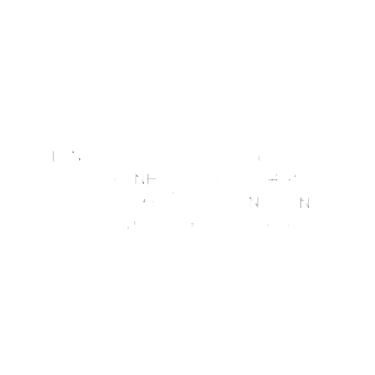 NCCNC(=O)c1ccc(-n2ccncc2=O)cc1